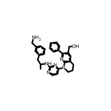 CC(Cc1cccc(CN)c1)Nc1nccc(N2CCCc3cc(CO)c(-c4ccccc4)nc32)n1